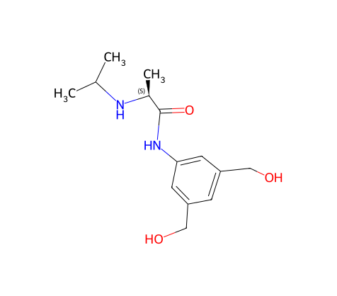 CC(C)N[C@@H](C)C(=O)Nc1cc(CO)cc(CO)c1